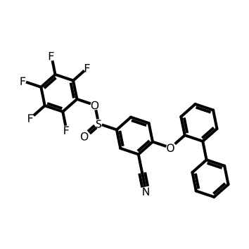 N#Cc1cc(S(=O)Oc2c(F)c(F)c(F)c(F)c2F)ccc1Oc1ccccc1-c1ccccc1